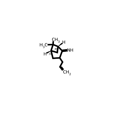 C=CCC1C[C@H]2C[C@@H](C1=N)C2(C)C